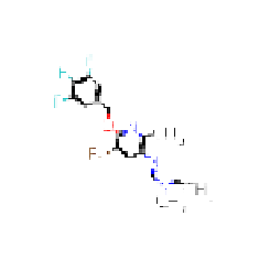 CCN(C)/C=N/c1cc(Br)c(OCc2cc(F)c(F)c(F)c2)nc1C